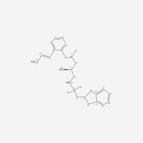 CN(Cc1ccccc1/C=C/C(=O)O)C[C@H](O)CNC(C)(C)CC1Cc2ccccc2C1